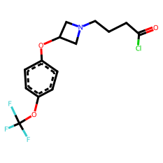 O=C(Cl)CCCN1CC(Oc2ccc(OC(F)(F)F)cc2)C1